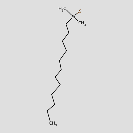 CCCCCCCCCCCC[Si](C)(C)[S]